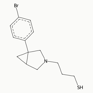 SCCCN1CC2CC2(c2ccc(Br)cc2)C1